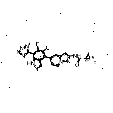 Cn1nnnc1-c1c(F)c(Cl)c(-c2ccn3nc(NC(=O)[C@@H]4C[C@@H]4F)cc3c2)c2cn[nH]c12